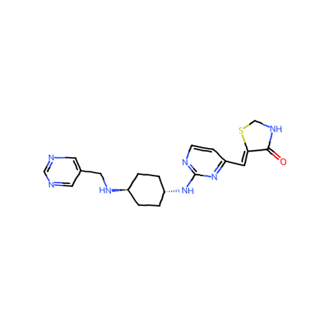 O=C1NCS/C1=C\c1ccnc(N[C@H]2CC[C@H](NCc3cncnc3)CC2)n1